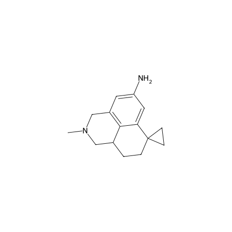 CN1Cc2cc(N)cc3c2C(CCC32CC2)C1